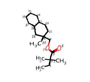 CCC(C)(C)C(=O)OCC1(C)CCC2CCCCC2C1